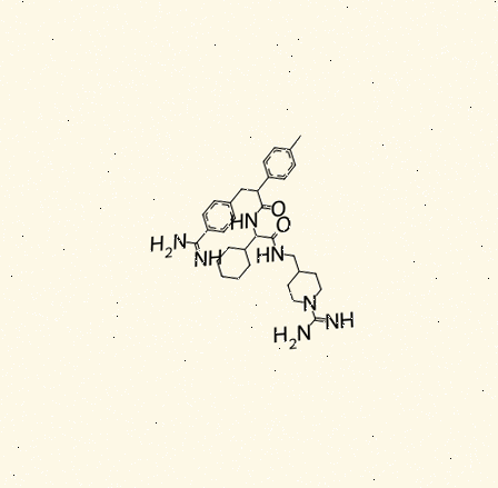 Cc1ccc(C(Cc2ccc(C(=N)N)cc2)C(=O)NC(C(=O)NCC2CCN(C(=N)N)CC2)C2CCCCC2)cc1